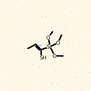 C/C=C(\S)[Si](OC)(OC)OC